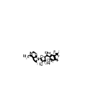 Cc1ncnc2c1ccn2[C@@H]1O[C@H]([C@H](O)c2ccc(F)c(C(F)(F)F)c2)[C@@](C)(O)[C@H]1O